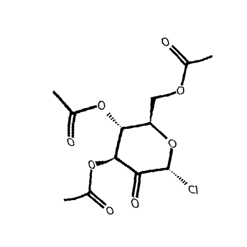 CC(=O)OC[C@H]1O[C@H](Cl)C(=O)[C@@H](OC(C)=O)[C@@H]1OC(C)=O